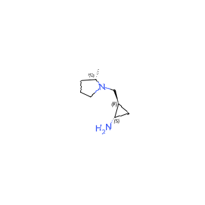 C[C@H]1CCCN1C[C@H]1C[C@@H]1N